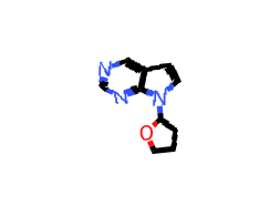 c1ncc2ccn(C3CCCO3)c2n1